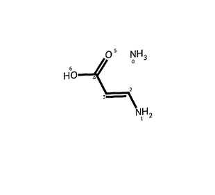 N.NC=CC(=O)O